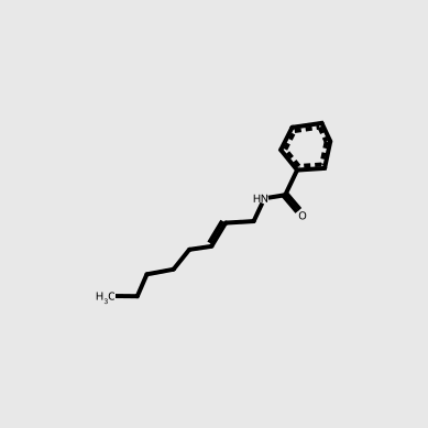 CCCCCC=CCNC(=O)c1ccccc1